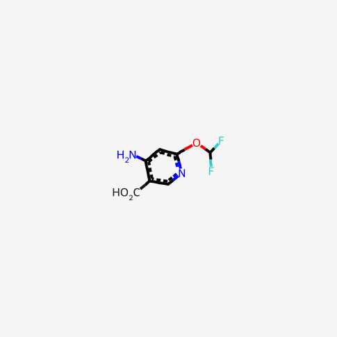 Nc1cc(OC(F)F)ncc1C(=O)O